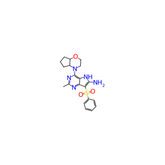 Cc1nc(N2CCOC3CCCC32)c2[nH]c(N)c(S(=O)(=O)c3ccccc3)c2n1